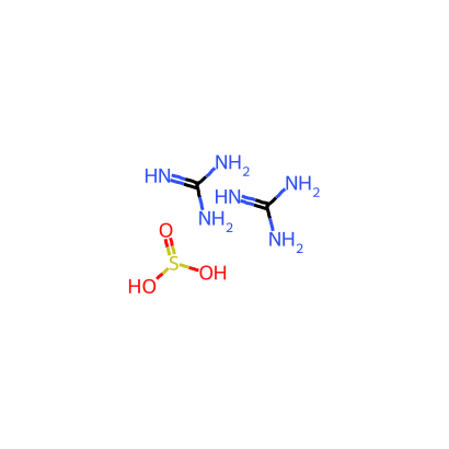 N=C(N)N.N=C(N)N.O=S(O)O